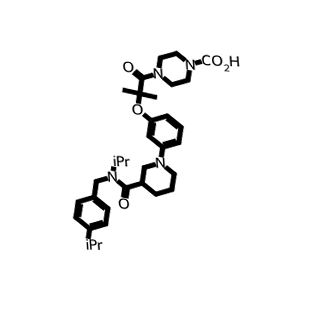 CC(C)c1ccc(CN(C(=O)C2CCCN(c3cccc(OC(C)(C)C(=O)N4CCN(C(=O)O)CC4)c3)C2)C(C)C)cc1